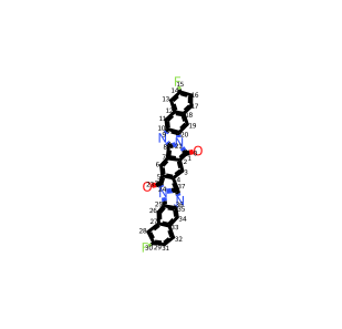 O=c1c2cc3c(cc2c2nc4cc5cc(F)ccc5cc4n12)c(=O)n1c2cc4cc(F)ccc4cc2nc31